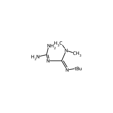 CN(C)/C(N=C(N)N)=N\C(C)(C)C